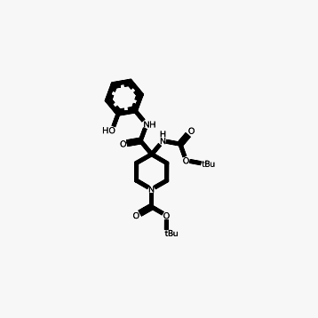 CC(C)(C)OC(=O)NC1(C(=O)Nc2ccccc2O)CCN(C(=O)OC(C)(C)C)CC1